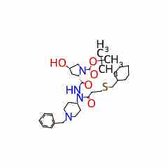 CC(C)(C)OC(=O)N1C[C@H](O)C[C@H]1C(=O)NN(C(=O)CCSCC1CCCCC1)C1CCN(Cc2ccccc2)CC1